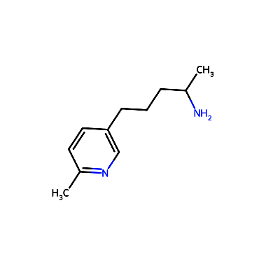 Cc1ccc(CCCC(C)N)cn1